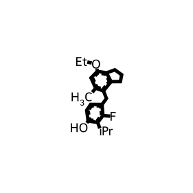 CCOc1cc(C)c(Cc2ccc(O)c(C(C)C)c2F)c2c1CCC2